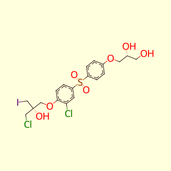 O=S(=O)(c1ccc(OC[C@H](O)CO)cc1)c1ccc(OC[C@@](O)(CCl)CI)c(Cl)c1